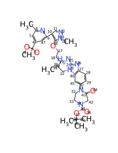 COC(=O)c1cc(C)nc(-c2cnn(C)c2OCCC[C@@H](C)Cn2c(N)nc3ccc(N4CCN(C(=O)OC(C)(C)C)CC4=O)cc32)c1